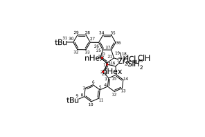 CCCCCCC1=Cc2c(-c3ccc(C(C)(C)C)cc3)cccc2[CH]1[Zr]([CH3])([CH3])(=[SiH2])[CH]1C(CCCCCC)=Cc2c(-c3ccc(C(C)(C)C)cc3)cccc21.Cl.Cl